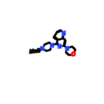 CSN1CCN(c2nc(N3CCOCC3)cc3ncccc23)CC1